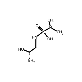 B[C@H](O)CNP(=O)(O)N(C)C